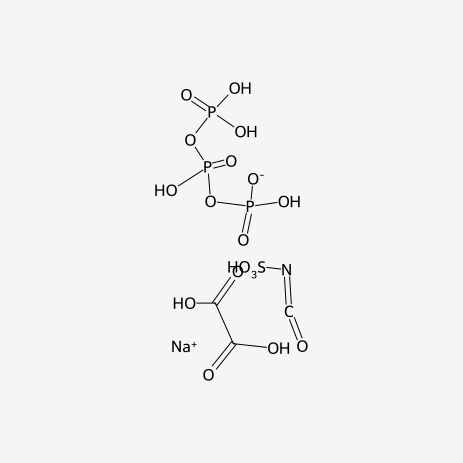 O=C(O)C(=O)O.O=C=NS(=O)(=O)O.O=P([O-])(O)OP(=O)(O)OP(=O)(O)O.[Na+]